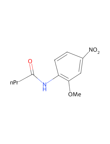 CCCC(=O)Nc1ccc([N+](=O)[O-])cc1OC